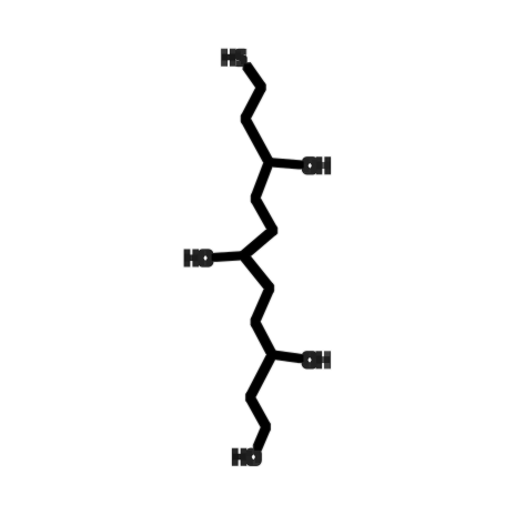 OCCC(O)CCC(O)CCC(O)CCS